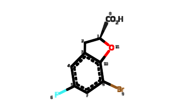 O=C(O)[C@@H]1Cc2cc(F)cc(Br)c2O1